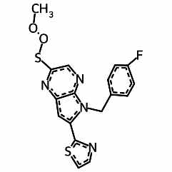 COOSc1cnc2c(cc(-c3nccs3)n2Cc2ccc(F)cc2)n1